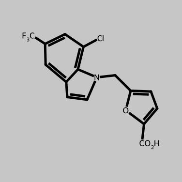 O=C(O)c1ccc(Cn2ccc3cc(C(F)(F)F)cc(Cl)c32)o1